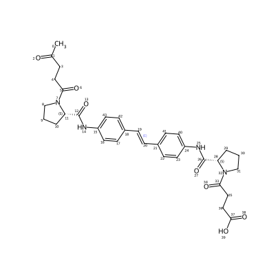 CC(=O)CCC(=O)N1CCC[C@H]1C(=O)Nc1ccc(/C=C/c2ccc(NC(=O)[C@@H]3CCCN3C(=O)CCC(=O)O)cc2)cc1